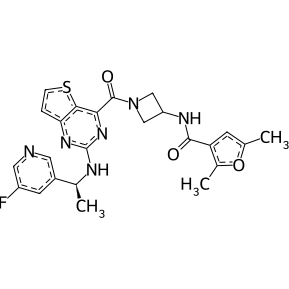 Cc1cc(C(=O)NC2CN(C(=O)c3nc(N[C@@H](C)c4cncc(F)c4)nc4ccsc34)C2)c(C)o1